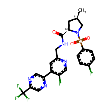 C[C@@H]1C[C@@H](C(=O)NCc2cc(-c3cnc(C(F)(F)F)cn3)c(F)cn2)N(S(=O)(=O)c2ccc(F)cc2)C1